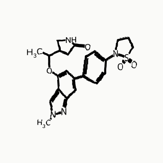 CC(Oc1cc(-c2ccc(N3CCCS3(=O)=O)cc2)cc2nn(C)cc12)C1CNC(=O)C1